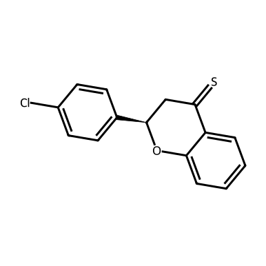 S=C1C[C@H](c2ccc(Cl)cc2)Oc2ccccc21